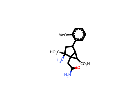 COc1ccccc1C1CC(N)(C(=O)O)C2(CC(N)=O)C(C(=O)O)C12